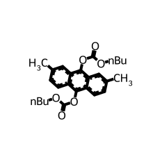 CCCCOC(=O)Oc1c2ccc(C)cc2c(OC(=O)OCCCC)c2cc(C)ccc12